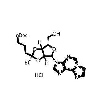 CCCCCCCCCCCCC[C@]1(CC)O[C@@H]2[C@H](O1)[C@@H](CO)O[C@H]2n1cnc2c1ncn1ccnc21.Cl